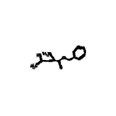 CC(=N)/C=C(\N)C(=O)OCc1ccccc1